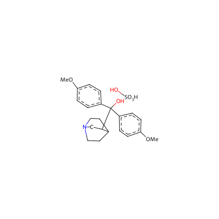 COc1ccc(C(O)(c2ccc(OC)cc2)C2CN3CCC2CC3)cc1.O=S(=O)(O)O